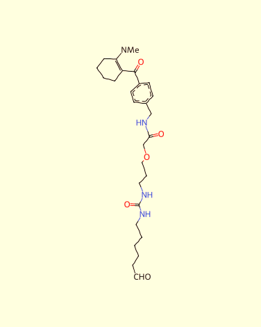 CNC1=C(C(=O)c2ccc(CNC(=O)COCCCNC(=O)NCCCCCC=O)cc2)CCCC1